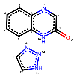 O=c1cnc2ccccc2[nH]1.c1c[nH]nn1